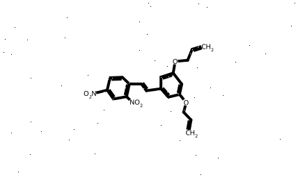 C=CCOc1cc(C=Cc2ccc([N+](=O)[O-])cc2[N+](=O)[O-])cc(OCC=C)c1